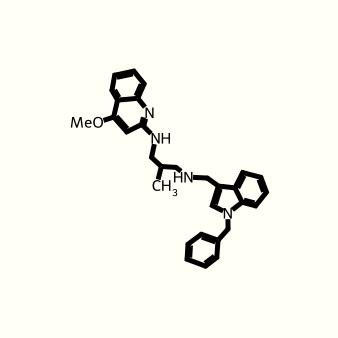 COc1cc(NCC(C)CNCc2cn(Cc3ccccc3)c3ccccc23)nc2ccccc12